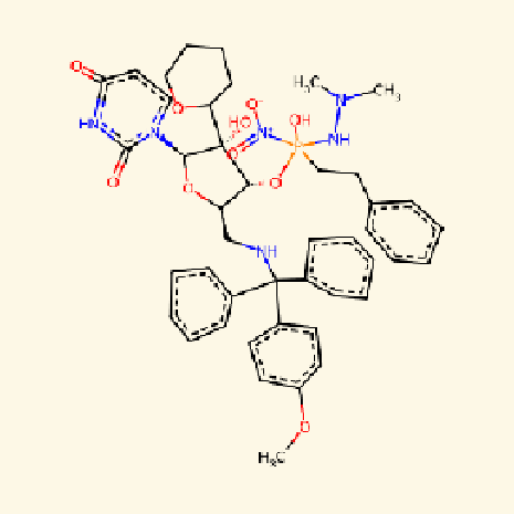 COc1ccc(C(NC[C@H]2O[C@@H](n3ccc(=O)[nH]c3=O)[C@@](O)(C3CCCCO3)[C@@H]2OP(O)(CCc2ccccc2)(NN(C)C)[N+](=O)[O-])(c2ccccc2)c2ccccc2)cc1